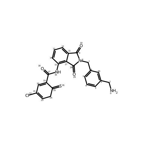 NCc1cccc(CN2C(=O)c3cccc(NC(=O)C4=CC(Cl)=CCC4=S)c3C2=O)c1